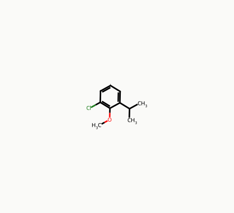 COc1c(Cl)c[c]cc1C(C)C